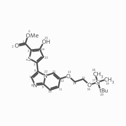 COC(=O)c1sc(-c2cnc3ccc(OCCO[Si](C)(C)C(C)(C)C)cn23)cc1O